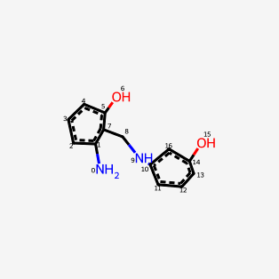 Nc1cccc(O)c1CNc1cccc(O)c1